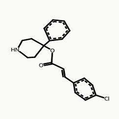 O=C(/C=C/c1ccc(Cl)cc1)OC1(c2ccccc2)CCNCC1